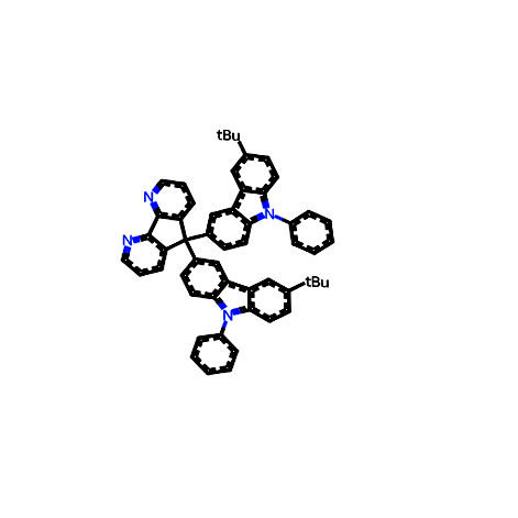 CC(C)(C)c1ccc2c(c1)c1cc(C3(c4ccc5c(c4)c4cc(C(C)(C)C)ccc4n5-c4ccccc4)c4cccnc4-c4ncccc43)ccc1n2-c1ccccc1